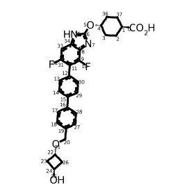 O=C(O)[C@H]1CC[C@H](Oc2nc3c(F)c(-c4ccc(-c5ccc(CO[C@H]6C[C@H](O)C6)cc5)cc4)c(F)cc3[nH]2)CC1